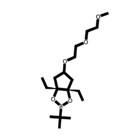 CC[C@@]12CC(OCCOCCOC)C[C@]1(CC)OB(C(C)(C)C)O2